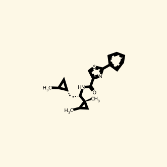 CC1C[C@@H]1C[C@H](NC(=O)c1csc(-c2ccccc2)n1)[C@]1(C)CC1C